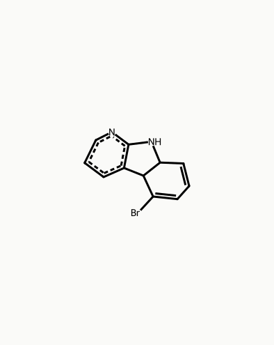 BrC1=CC=CC2Nc3ncccc3C12